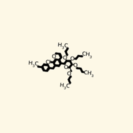 CCCCOC[C@H]1OC(c2cc(Cc3ccc(CC)cc3)c(Cl)c3c2C=CCO3)[C@H](OCCCC)[C@@H](OCCCC)[C@@H]1OCCCC